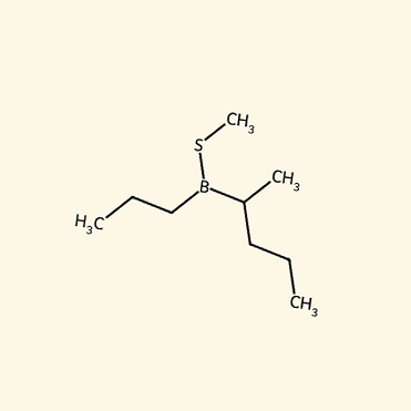 CCCB(SC)C(C)CCC